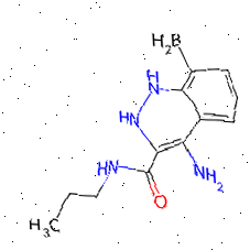 Bc1cccc2c1NNC(C(=O)NCCC)=C2N